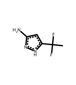 CC(F)(F)c1cc(N)n[nH]1